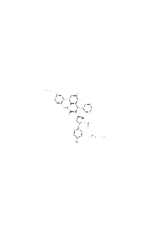 COC(=O)CCC(=O)n1nc(-c2c(-c3ccccc3)c3cc(Cl)ccc3n(Cc3ccc(OC)cc3)c2=O)cc1-c1ccc(Br)cc1